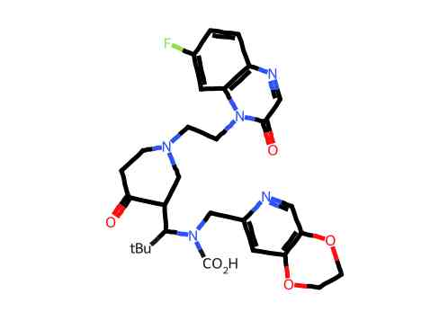 CC(C)(C)C(C1CN(CCn2c(=O)cnc3ccc(F)cc32)CCC1=O)N(Cc1cc2c(cn1)OCCO2)C(=O)O